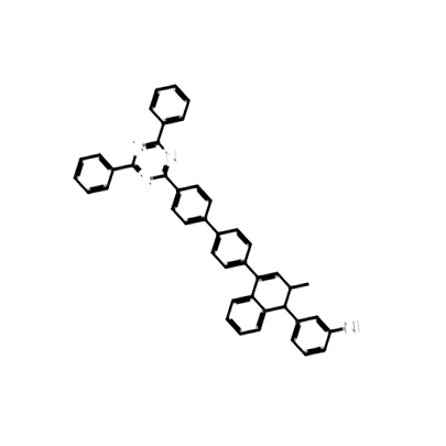 CC1C=C(c2ccc(-c3ccc(-c4nc(-c5ccccc5)nc(-c5ccccc5)n4)cc3)cc2)c2ccccc2C1c1cccc(N)c1